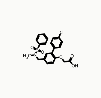 CN(Cc1ccc(OCC(=O)O)c(-c2ccc(Cl)cc2)c1)S(=O)(=O)c1ccccc1